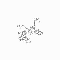 CCCCCC(=O)N[C@@H](Cc1ccncc1)C(=O)N[C@@H](CCCC)C(=O)NC(C)C[C@H](C)C(=O)[C@@]1(C)CO1